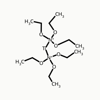 CCO[N+](OCC)(OCC)[Ti][N+](OCC)(OCC)OCC